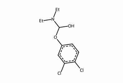 CCN(CC)C(O)Oc1ccc(Cl)c(Cl)c1